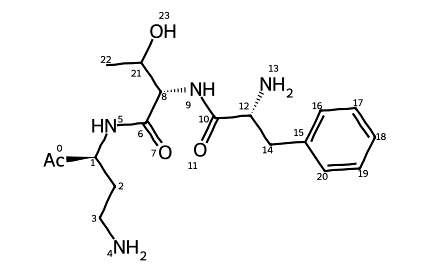 CC(=O)[C@H](CCN)NC(=O)[C@@H](NC(=O)[C@H](N)Cc1ccccc1)C(C)O